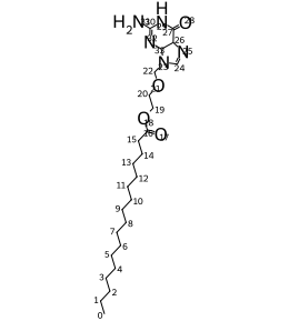 CCCCCCCCCCCCCCCCC(=O)OCCOCN1C=NC2C(=O)NC(N)=NC21